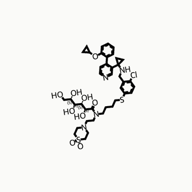 O=C([C@@H](O)[C@@H](O)[C@H](O)[C@@H](O)CO)N(CCCCSc1ccc(Cl)c(CNC2(c3cnccc3-c3ccccc3OC3CC3)CC2)c1)CCN1CCS(=O)(=O)CC1